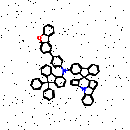 c1ccc(C2(c3ccccc3)c3ccccc3-c3c(N(c4ccc(-c5ccc6oc7ccccc7c6c5)cc4)c4ccc5c(c4)C4(c6ccccc6-5)c5ccccc5-n5c6ccccc6c6cccc4c65)cccc32)cc1